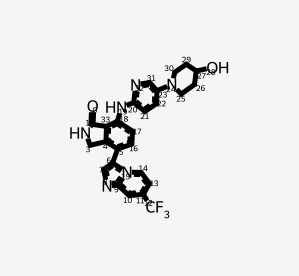 O=C1NCc2c(-c3cnc4cc(C(F)(F)F)ccn34)ccc(Nc3ccc(N4CCC(O)CC4)cn3)c21